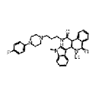 CCN1C(=O)c2ccccc2C(C(=O)NCCCN2CCN(c3ccc(F)cc3)CC2)C1c1cn(C)c2ccccc12